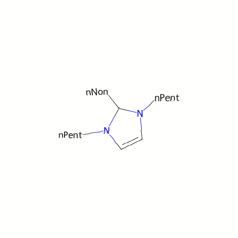 CCCCCCCCCC1N(CCCCC)C=CN1CCCCC